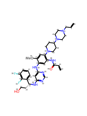 C=CCN1CCN(C2CCN(c3cc(OC)c(Nc4cc(N[C@H](CCO)c5cccc(F)c5F)ncn4)cc3NC(=O)C=C)CC2)CC1